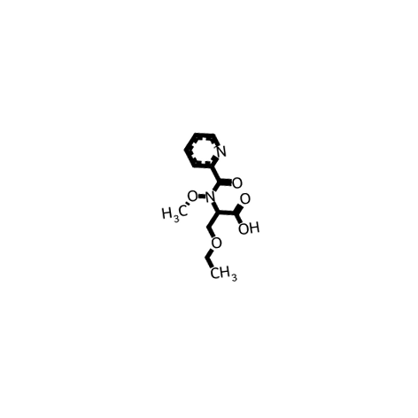 CCOCC(C(=O)O)N(OC)C(=O)c1ccccn1